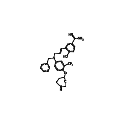 N=C(N)c1ccc(O)c(/C=C/CN(Cc2ccccc2)c2ccc(OC3CCNCC3)c(C(F)(F)F)c2)c1